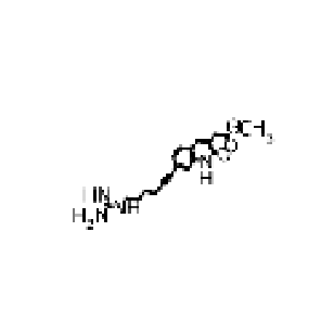 COC(=O)CC1Cc2ccc(C#CCCCCNC(=N)N)cc2NC1=O